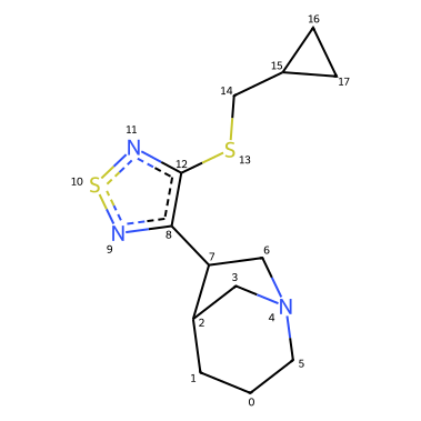 C1CC2CN(C1)CC2c1nsnc1SCC1CC1